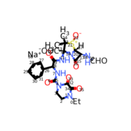 CCN1CCN(C(=O)NC(C(=O)N[C@@]2(C(=O)[O-])N3C(=O)[C@H](NC=O)[C@H]3[S+]([O-])C2(C)C)c2ccccc2)C(=O)C1=O.[Na+]